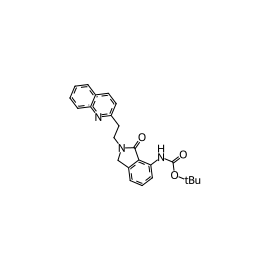 CC(C)(C)OC(=O)Nc1cccc2c1C(=O)N(CCc1ccc3ccccc3n1)C2